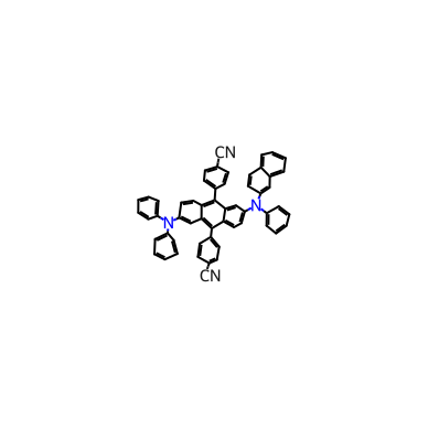 N#Cc1ccc(-c2c3ccc(N(c4ccccc4)c4ccc5ccccc5c4)cc3c(-c3ccc(C#N)cc3)c3ccc(N(c4ccccc4)c4ccccc4)cc23)cc1